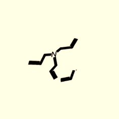 C=CCN(CC=C)CC=C.[CH2]C=C